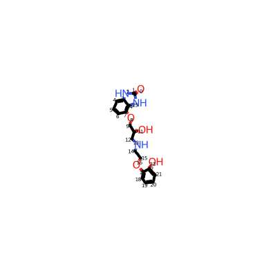 O=c1[nH]c2cccc(OCC(O)CNCCOc3ccccc3O)c2[nH]1